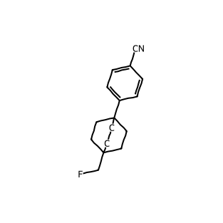 N#Cc1ccc(C23CCC(CF)(CC2)CC3)cc1